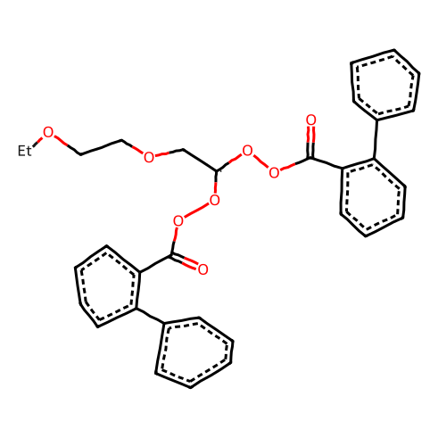 [CH2]COCCOC[C](OOC(=O)c1ccccc1-c1ccccc1)OOC(=O)c1ccccc1-c1ccccc1